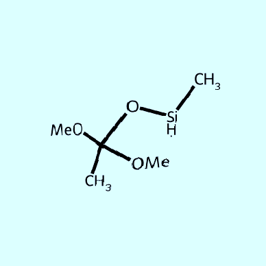 COC(C)(OC)O[SiH]C